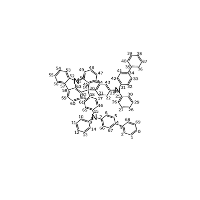 c1ccc(-c2ccc(N(c3ccccc3)c3ccc(C4(c5ccc(N(c6ccccc6)c6ccc(-c7ccccc7)cc6)cc5)c5ccccc5-n5c6ccccc6c6cccc4c65)cc3)cc2)cc1